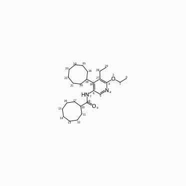 CCOc1ncc(NC(=O)C2CCCCCCC2)c(C2CCCCCCC2)c1CC